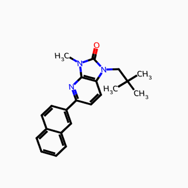 Cn1c(=O)n(CC(C)(C)C)c2ccc(-c3ccc4ccccc4c3)nc21